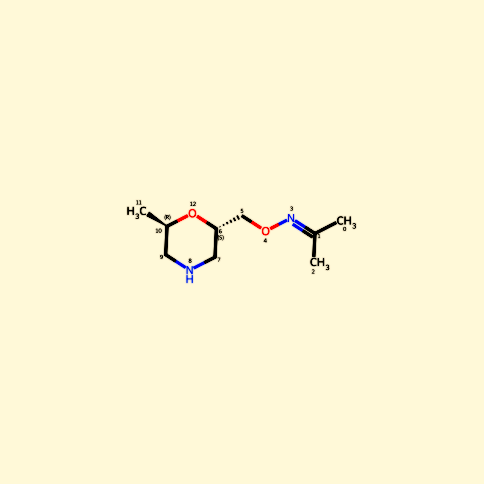 CC(C)=NOC[C@@H]1CNC[C@@H](C)O1